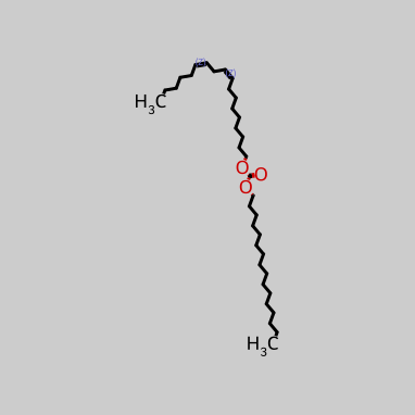 CCCCC/C=C\C/C=C\CCCCCCCCOC(=O)OCCCCCCCCCCCCCCCC